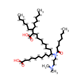 CCCCCCCC(=O)N(CCCN(C)C)C(CCCCCCCCC(=O)O)CCCCCCCC(C(=O)O)C(CCCCCC)CCCCCC